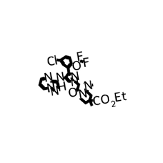 CCOC(=O)C1(C)CCN(C(=O)Cn2cc(Nc3cnn4cccnc34)c(-c3cc(Cl)ccc3OC(F)F)n2)C(N(C)C)C1